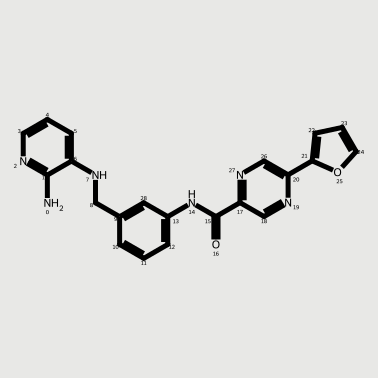 Nc1ncccc1NCc1cccc(NC(=O)c2cnc(-c3ccco3)cn2)c1